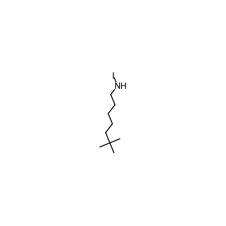 CC(C)(C)CCCCCNI